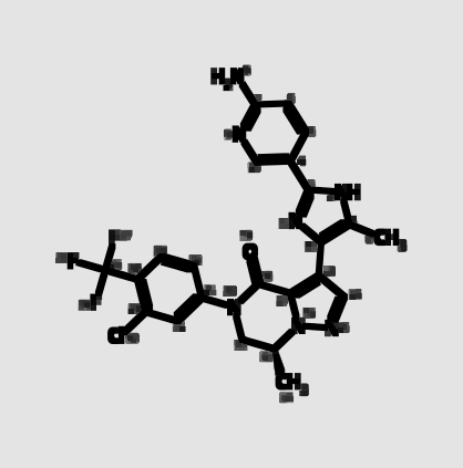 Cc1[nH]c(-c2ccc(N)nc2)nc1-c1cnn2c1C(=O)N(c1ccc(C(F)(F)F)c(Cl)c1)C[C@@H]2C